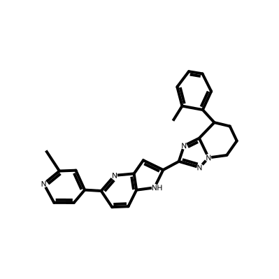 Cc1cc(-c2ccc3[nH]c(-c4nc5n(n4)CCCC5c4ccccc4C)cc3n2)ccn1